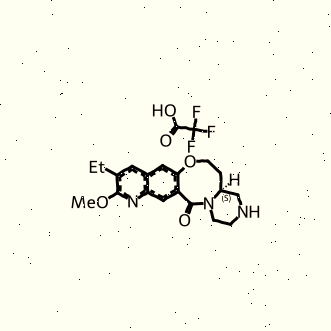 CCc1cc2cc3c(cc2nc1OC)C(=O)N1CCNC[C@@H]1CCO3.O=C(O)C(F)(F)F